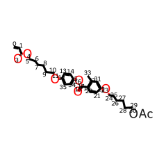 C=CC(=O)OCCCCCCOc1ccc(OC(=O)c2ccc(OCCCCCCOC(C)=O)cc2C)cc1